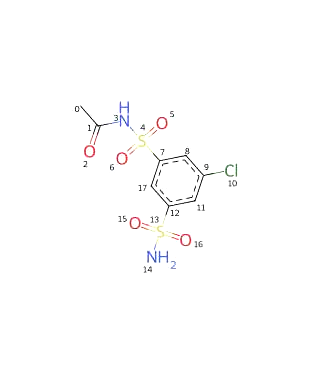 CC(=O)NS(=O)(=O)c1cc(Cl)cc(S(N)(=O)=O)c1